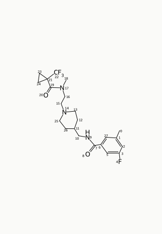 Cc1cc(F)cc(C(=O)NCC2CCN(CCN(C)C(=O)C3(C(F)(F)F)CC3)CC2)c1